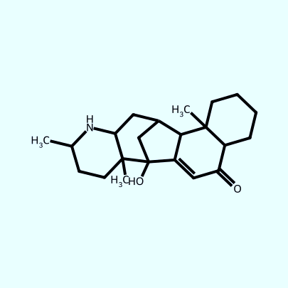 CC1CCC2(C)C(CC3CC2(O)C2=CC(=O)C4CCCCC4(C)C23)N1